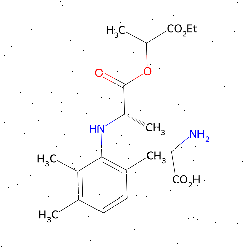 CCOC(=O)C(C)OC(=O)[C@H](C)Nc1c(C)ccc(C)c1C.NCC(=O)O